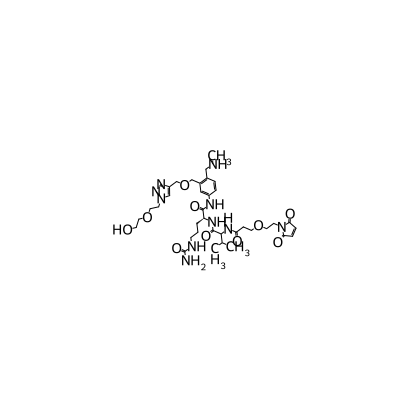 CNCc1ccc(NC(=O)[C@H](CCCNC(N)=O)NC(=O)C(NC(=O)CCOCCN2C(=O)C=CC2=O)C(C)C)cc1COCc1cn(CCOCCO)nn1